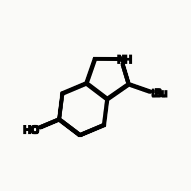 CC(C)(C)C1NCC2CC(O)CCC21